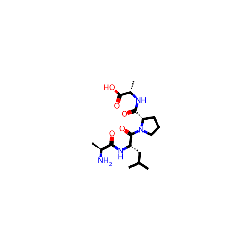 CC(C)C[C@H](NC(=O)[C@H](C)N)C(=O)N1CCC[C@H]1C(=O)N[C@@H](C)C(=O)O